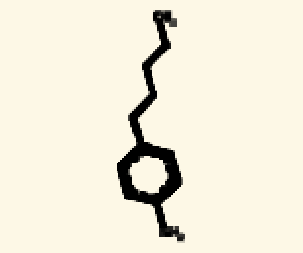 CCCCCc1ccc(N)cc1